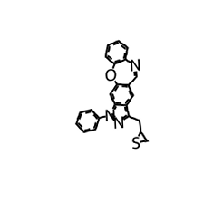 C1=Nc2ccccc2Oc2cc3c(cc21)c(CC1CS1)nn3-c1ccccc1